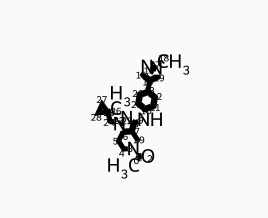 CC(=O)N1CCc2c(c(Nc3ccc(-c4cnn(C)c4)cc3)nn2CC2(C)CC2)C1